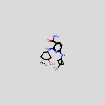 C[C@@H]1CC[C@@H](Nc2nc(NC34CC(C(F)(F)F)(C3)C4)ccc2C(N)=O)C[C@H]1O